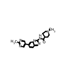 Cc1ncc(-c2ccc3cnc(NC(=O)C4CCN(C)CC4)nc3c2)cn1